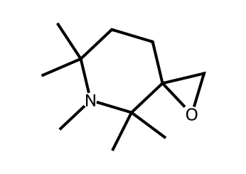 CN1C(C)(C)CCC2(CO2)C1(C)C